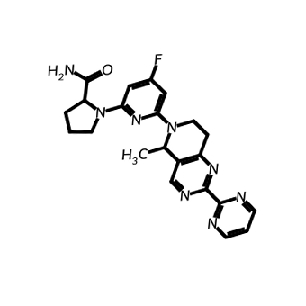 CC1c2cnc(-c3ncccn3)nc2CCN1c1cc(F)cc(N2CCCC2C(N)=O)n1